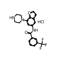 Cl.O=C(Nc1cc(N2CCNCC2)c2occc2c1)c1cccc(C(F)(F)F)c1